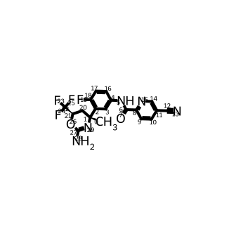 C[C@]1(c2cc(NC(=O)c3ccc(C#N)cn3)ccc2F)C[C@H](C(F)(F)F)OC(N)=N1